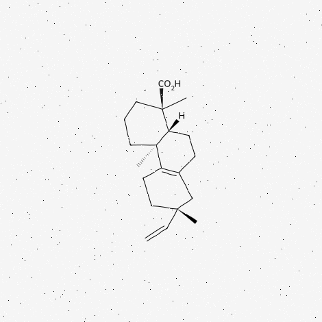 C=C[C@]1(C)CCC2=C(CC[C@H]3[C@](C)(C(=O)O)CCC[C@]23C)C1